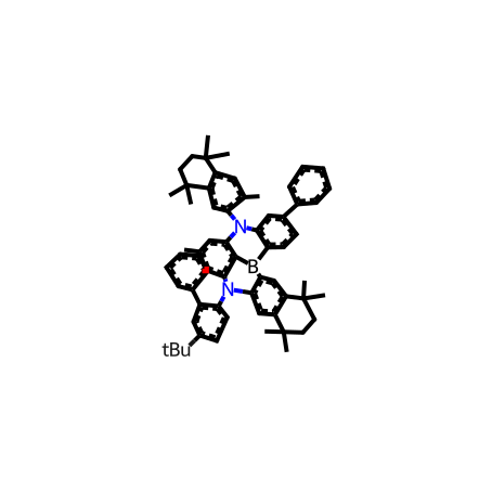 Cc1cc2c3c(c1)N(c1ccc(C(C)(C)C)cc1-c1ccccc1)c1cc4c(cc1B3c1ccc(-c3ccccc3)cc1N2c1cc2c(cc1C)C(C)(C)CCC2(C)C)C(C)(C)CCC4(C)C